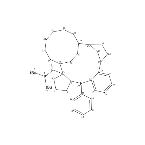 C[C@@H](P(C(C)(C)C)C(C)(C)C)C12CCCC1P(c1ccccc1)c1ccccc1C1CCC(C1)C1CCCCCCC2CC1